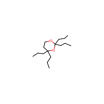 CCCC1(CCC)CCOC(CCC)(CCC)O1